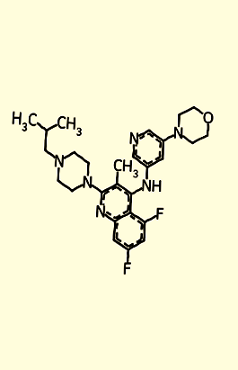 Cc1c(N2CCN(CC(C)C)CC2)nc2cc(F)cc(F)c2c1Nc1cncc(N2CCOCC2)c1